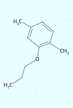 CCCOc1cc(C)ccc1C